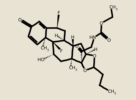 CCCC1O[C@@H]2C[C@H]3[C@@H]4C[C@H](F)C5=CC(=O)C=C[C@]5(C)[C@@]4(F)[C@@H](O)C[C@]3(C)[C@]2(C(=O)CNC(=O)OCC)O1